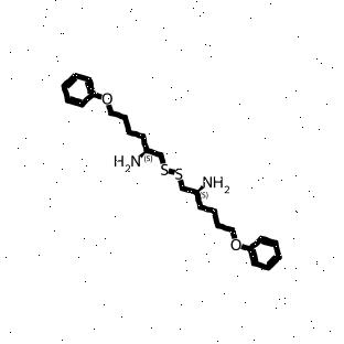 N[C@@H](CCCCOc1ccccc1)CSSC[C@@H](N)CCCCOc1ccccc1